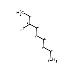 [CH2]CC(I)CCCCCC